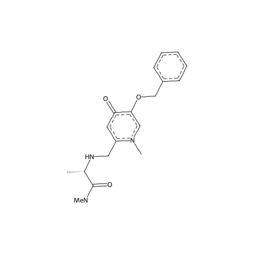 CNC(=O)[C@H](C)NCc1cc(=O)c(OCc2ccccc2)cn1C